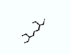 CCC([CH]CCC(CC)CC)CC